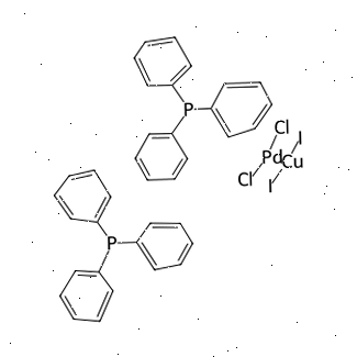 [Cl][Pd][Cl].[I][Cu][I].c1ccc(P(c2ccccc2)c2ccccc2)cc1.c1ccc(P(c2ccccc2)c2ccccc2)cc1